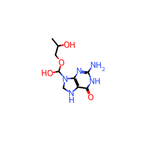 CC(O)COC(O)N1CNc2c1nc(N)[nH]c2=O